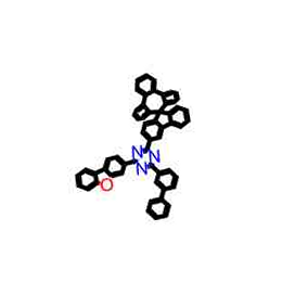 c1ccc(-c2cccc(-c3nc(-c4ccc5c(c4)-c4ccccc4C54c5ccccc5-c5ccccc5-c5ccccc54)nc(-c4ccc5c(c4)oc4ccccc45)n3)c2)cc1